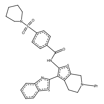 CC(C)N1CCc2c(sc(NC(=O)c3ccc(S(=O)(=O)N4CCCCC4)cc3)c2-c2nc3ccccc3s2)C1